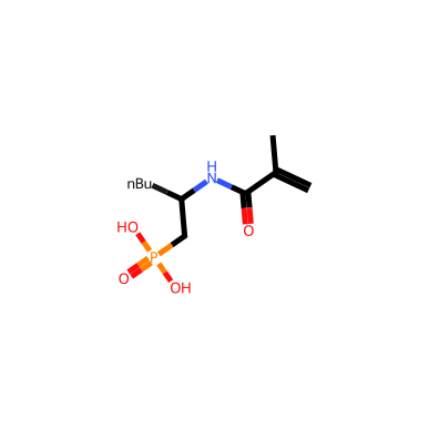 C=C(C)C(=O)NC(CCCC)CP(=O)(O)O